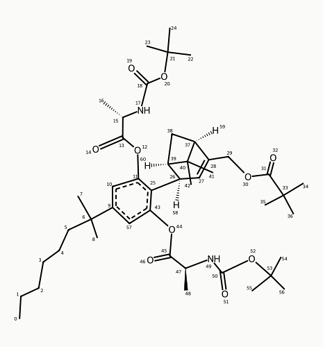 CCCCCCC(C)(C)c1cc(OC(=O)[C@H](C)NC(=O)OC(C)(C)C)c([C@@H]2C=C(COC(=O)C(C)(C)C)[C@@H]3C[C@H]2C3(C)C)c(OC(=O)[C@H](C)NC(=O)OC(C)(C)C)c1